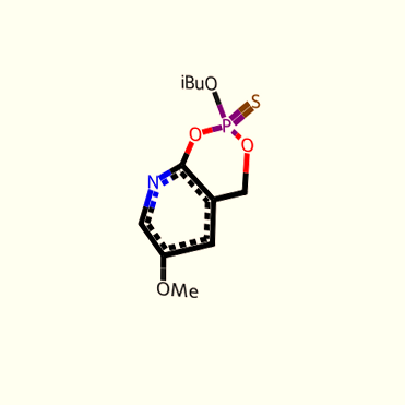 COc1cnc2c(c1)COP(=S)(OCC(C)C)O2